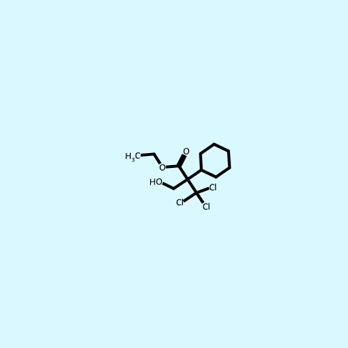 CCOC(=O)C(CO)(C1CCCCC1)C(Cl)(Cl)Cl